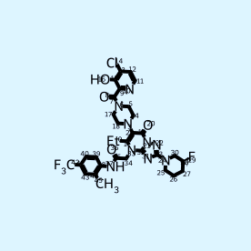 CCc1c(N2CCN(C(=O)c3nccc(Cl)c3O)CC2)c(=O)n2nc(N3CCC[C@H](F)C3)nc2n1CC(=O)Nc1ccc(C(F)(F)F)cc1C